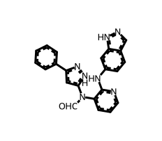 O=CN(c1cc(-c2ccccc2)n[nH]1)c1cccnc1Nc1ccc2cn[nH]c2c1